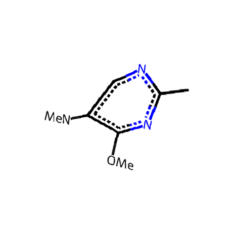 CNc1cnc(C)nc1OC